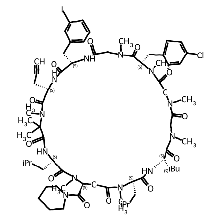 C#CC[C@@H]1NC(=O)[C@H](Cc2cccc(I)c2)NC(=O)CN(C)C(=O)[C@H](Cc2ccc(Cl)cc2)N(C)C(=O)CN(C)C(=O)CN(C)C(=O)[C@H]([C@@H](C)CC)NC(=O)[C@H](CC(C)C)N(C)C(=O)C[C@@H](C(=O)N2CCCCC2)N(C)C(=O)[C@H](CC(C)C)NC(=O)C(C)(C)N(C)C1=O